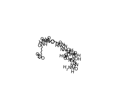 CC(C)[C@H](NC(=O)CCCCCN1C(=O)C=CC1=O)C(=O)N[C@@H](C)C(=O)Nc1ccc(COC(=O)Nc2ncnc3c2ncn3[C@@H]2O[C@@H]3COP(=O)(O)OC4C(O)[C@H](n5cnc6c(=O)[nH]c(N)nc65)O[C@@H]4COP(=O)(O)OC2[C@H]3O)cc1